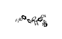 N#CN1C[C@H](NC(=O)N2CC[C@H](c3cccc(OC(F)(F)F)c3)C2)C[C@H]1Cn1cccn1